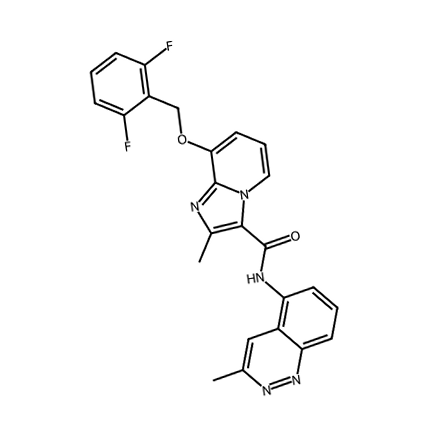 Cc1cc2c(NC(=O)c3c(C)nc4c(OCc5c(F)cccc5F)cccn34)cccc2nn1